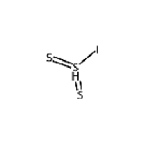 S=[SH](=S)I